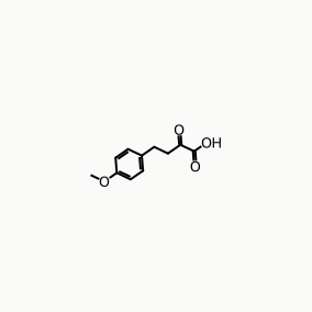 COc1ccc(CCC(=O)C(=O)O)cc1